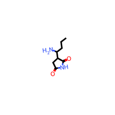 CCCC(N)C1CC(=O)NC1=O